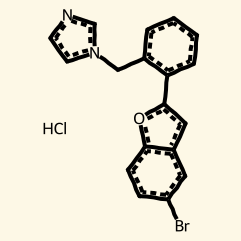 Brc1ccc2oc(-c3ccccc3Cn3ccnc3)cc2c1.Cl